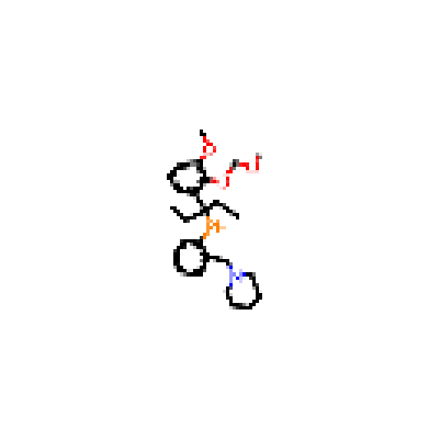 CCC(CC)(Pc1ccccc1CN1CCCCC1)c1cccc(OC)c1OCOC